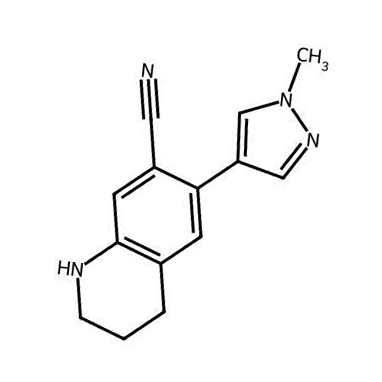 Cn1cc(-c2cc3c(cc2C#N)NCCC3)cn1